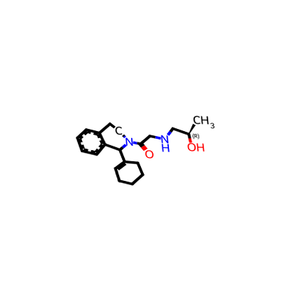 C[C@@H](O)CNCC(=O)N1CCc2ccccc2C1C1=CCCCC1